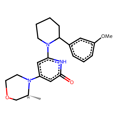 COc1cccc(C2CCCCN2c2cc(N3CCOC[C@H]3C)cc(=O)[nH]2)c1